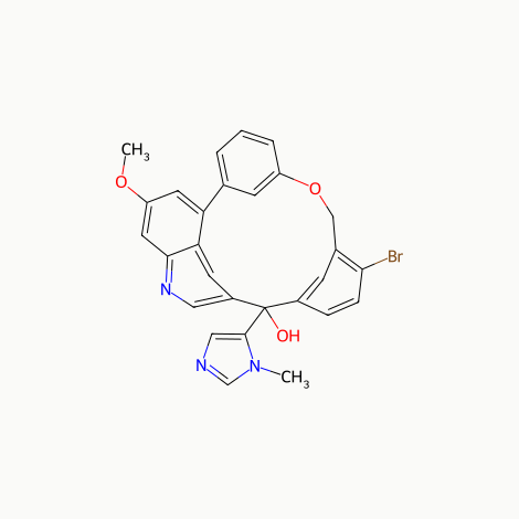 COc1cc2c3cc(cnc3c1)C(O)(c1cncn1C)c1ccc(Br)c(c1)COc1cccc-2c1